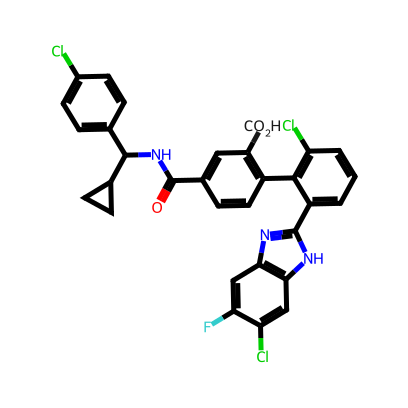 O=C(NC(c1ccc(Cl)cc1)C1CC1)c1ccc(-c2c(Cl)cccc2-c2nc3cc(F)c(Cl)cc3[nH]2)c(C(=O)O)c1